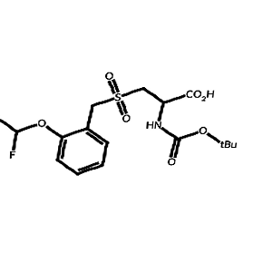 CC(C)(C)OC(=O)NC(CS(=O)(=O)Cc1ccccc1OC(F)F)C(=O)O